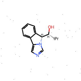 CC(C)[C@@H](O)[C@H]1c2ccccc2-c2cncn21